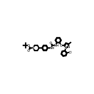 Cc1cc(Oc2ccccc2NC(=O)Nc2ccc(C3CCN(C(=O)OC(C)(C)C)CC3)cc2)n(-c2ccccc2Cl)n1